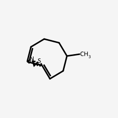 CC1C/C=c2\scn\c2=C\CC1